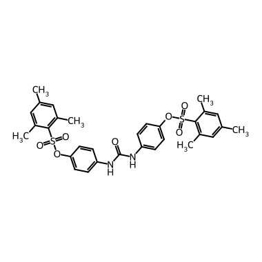 Cc1cc(C)c(S(=O)(=O)Oc2ccc(NC(=O)Nc3ccc(OS(=O)(=O)c4c(C)cc(C)cc4C)cc3)cc2)c(C)c1